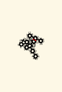 CC1(C)c2ccccc2-c2ccc(N(c3ccccc3-c3ccc(-c4ccccc4)cc3)c3cccc4oc5c(-c6ccc(-c7ccccc7)cc6)c6ccccc6cc5c34)cc21